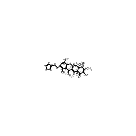 CC(=O)C1=C(C)[C@H](C(C)C)[C@@]2(C)C[C@@]3(C)Cc4c(C(C)C)cc(CCC5=CCC=C5)c(C)c4C(=O)C3=C(C)[C@@]2(C)C1=O